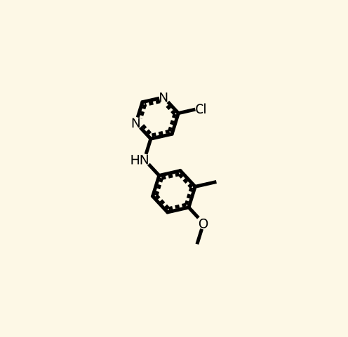 COc1ccc(Nc2cc(Cl)ncn2)cc1C